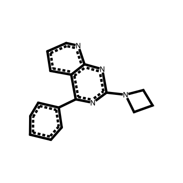 c1ccc(-c2nc(N3CCC3)nc3ncccc23)cc1